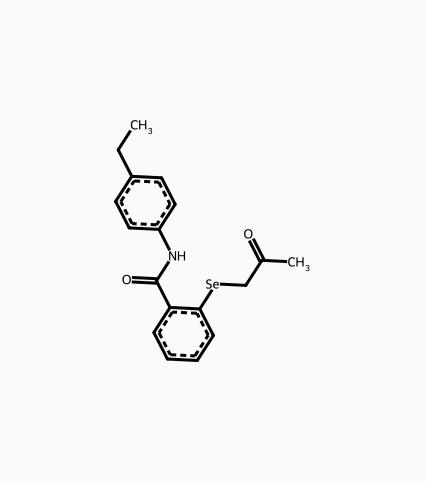 CCc1ccc(NC(=O)c2ccccc2[Se]CC(C)=O)cc1